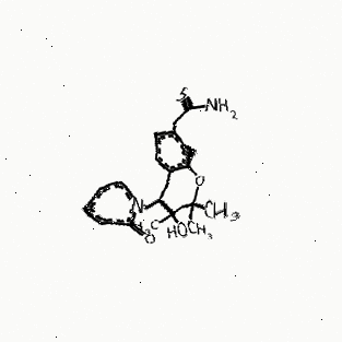 CC1(C)Oc2cc(C(N)=S)ccc2C(n2ccccc2=O)C1(C)O